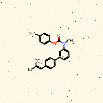 CCC(=Cc1ccc(-c2cccc(N(C)C(=O)Oc3ccc([N+](=O)[O-])cc3)c2)cc1)C(=O)O